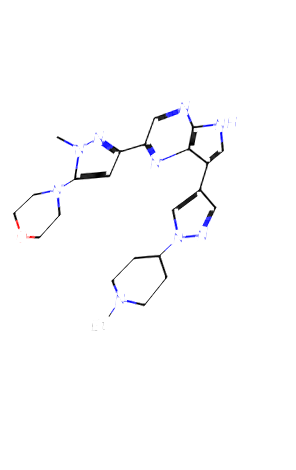 CCN1CCC(n2cc(-c3c[nH]c4ncc(-c5cc(N6CCOCC6)n(C)n5)nc34)cn2)CC1